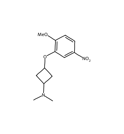 COc1ccc([N+](=O)[O-])cc1OC1CC(N(C)C)C1